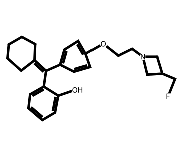 Oc1ccccc1C(=C1CCCCC1)c1ccc(OCCN2CC(CF)C2)cc1